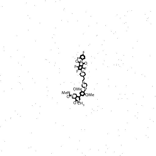 CNC(=O)N1CCc2c(-c3cc(OC)c(CN4CCN(CCC5CCN(c6c(F)c(F)c7c(c6F)C(=O)N(c6ccc(F)cc6F)C7=O)CC5)CC4)c(OC)c3)cn(C)c(=O)c2C1